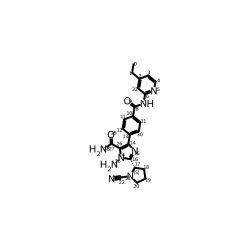 CCc1ccnc(NC(=O)c2ccc(-c3nc([C@@H]4CCCN4C#N)n(N)c3C(N)=O)cc2)c1